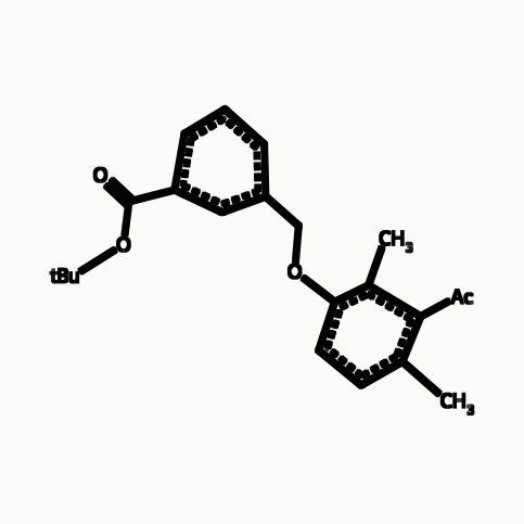 CC(=O)c1c(C)ccc(OCc2cccc(C(=O)OC(C)(C)C)c2)c1C